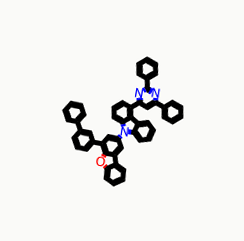 c1ccc(-c2cccc(-c3cc(-n4c5ccccc5c5c(-c6cc(-c7ccccc7)nc(-c7ccccc7)n6)cccc54)cc4c3oc3ccccc34)c2)cc1